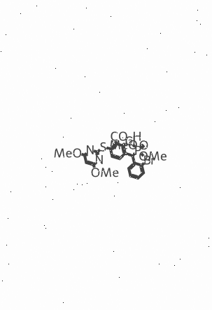 COc1cc(OC)nc(Sc2ccc(C(c3ccccc3Br)P(=O)(OC)OC)c(Cl)c2C(=O)O)n1